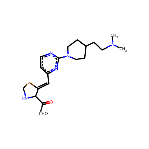 CN(C)CCC1CCN(c2nccc(/C=C3\SCNC3C(=O)C=O)n2)CC1